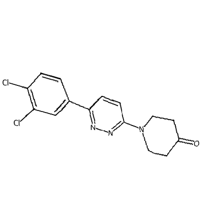 O=C1CCN(c2ccc(-c3ccc(Cl)c(Cl)c3)nn2)CC1